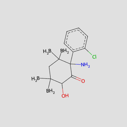 BC1(B)CC(B)(B)C(N)(c2ccccc2Cl)C(=O)C1O